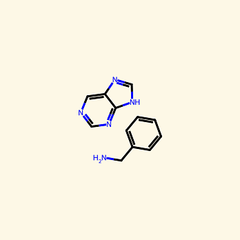 NCc1ccccc1.c1ncc2nc[nH]c2n1